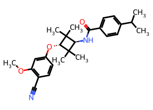 COc1cc(O[C@H]2C(C)(C)[C@H](NC(=O)c3ccc(C(C)C)cc3)C2(C)C)ccc1C#N